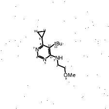 COCCNc1ncnc(C2CC2)c1C(C)(C)C